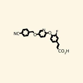 N#Cc1ccc(COc2ccc(Oc3ccc(C=CC(=O)O)cc3F)nc2)cc1